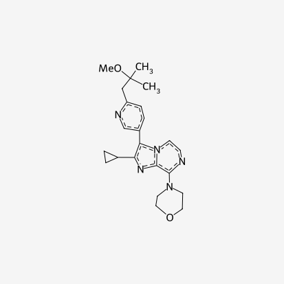 COC(C)(C)Cc1ccc(-c2c(C3CC3)nc3c(N4CCOCC4)nccn23)cn1